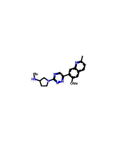 COc1cc2ccc(C)nc2cc1-c1cnc(N2CCC(NC(C)(C)C)C2)nn1